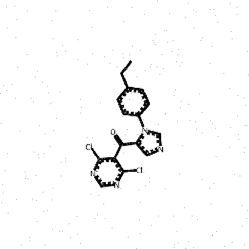 CCc1ccc(-n2cncc2C(=O)c2c(Cl)ncnc2Cl)cc1